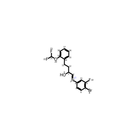 OC(/C=N/c1ccc(Br)c(F)c1)CCc1ccccc1OC(F)F